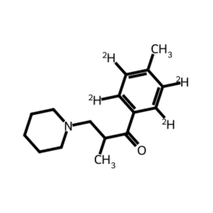 [2H]c1c([2H])c(C(=O)C(C)CN2CCCCC2)c([2H])c([2H])c1C